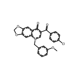 COc1cccc(Cn2cc(C(=O)c3ccc(Cl)cc3)c(=O)c3cc4c(cc32)OCO4)c1